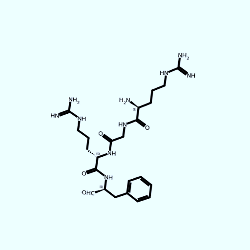 N=C(N)NCCC[C@H](NC(=O)CNC(=O)[C@@H](N)CCCNC(=N)N)C(=O)N[C@H]([C]=O)Cc1ccccc1